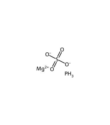 O=S(=O)([O-])[O-].P.[Mg+2]